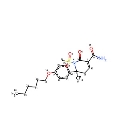 CS(=O)(=O)N1C(=O)C(C(N)=O)=CCC1(c1ccc(OCCCCCC(F)(F)F)cc1)C(F)(F)F